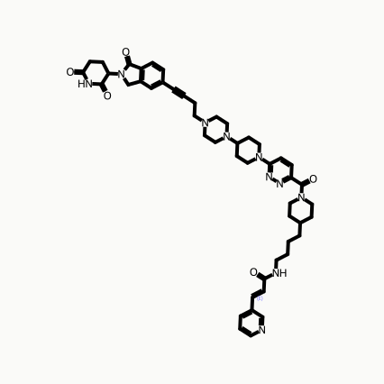 O=C(/C=C/c1cccnc1)NCCCCC1CCN(C(=O)c2ccc(N3CCC(N4CCN(CCC#Cc5ccc6c(c5)CN(C5CCC(=O)NC5=O)C6=O)CC4)CC3)nn2)CC1